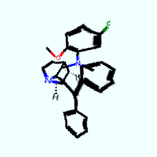 COc1ccc(F)cc1N(C)[C@@H]1C2CCN(CC2)[C@@H]1C(c1ccccc1)c1ccccc1